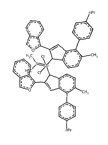 CCCc1ccc(-c2c(C)ccc3c2C=C(c2occ4ccccc24)[CH]3[Zr]([Cl])([Cl])([CH]2C(c3occ4ccccc34)=Cc3c2ccc(C)c3-c2ccc(CCC)cc2)=[Si](C)C)cc1